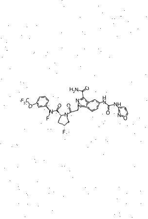 NC(=O)c1nn(CC(=O)N2C[C@H](F)C[C@H]2C(=O)N(F)c2cccc(OC(F)(F)F)c2)c2ccc(NC(=O)Nc3ccon3)cc12